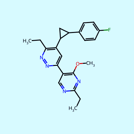 CCc1ncc(-c2cc(C3CC3c3ccc(F)cc3)c(CC)nn2)c(OC)n1